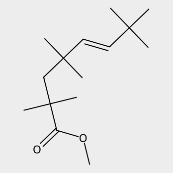 COC(=O)C(C)(C)CC(C)(C)/C=C/C(C)(C)C